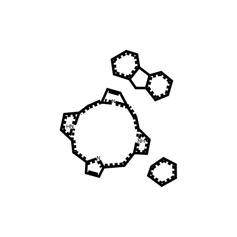 C1=Cc2cc3ccc(cc4nc(cc5ccc(cc1n2)[nH]5)C=C4)[nH]3.c1ccc2c(c1)Cc1ccccc1-2.c1ccccc1